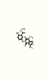 COC(=O)c1cc(Cn2c(=O)c3c(ncn3C)n(C)c2=O)ccc1Cl